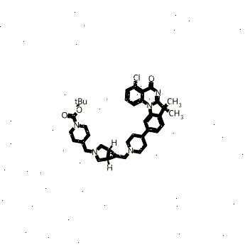 CC(C)(C)OC(=O)N1CCC(CN2C[C@@H]3C(CN4CCC(c5ccc6c(c5)-n5c(nc(=O)c7c(Cl)cccc75)C6(C)C)CC4)[C@@H]3C2)CC1